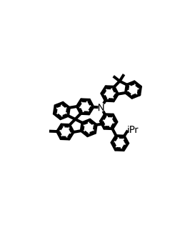 Cc1ccc2c(c1)C1(c3ccccc3-c3ccc(N(c4ccc(-c5ccccc5C(C)C)cc4)c4ccc5c(c4)-c4ccccc4C5(C)C)cc31)c1cc(C)ccc1-2